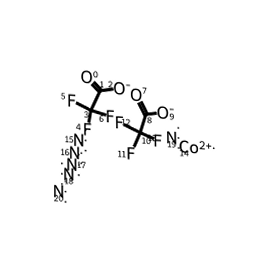 O=C([O-])C(F)(F)F.O=C([O-])C(F)(F)F.[Co+2].[N].[N].[N].[N].[N].[N]